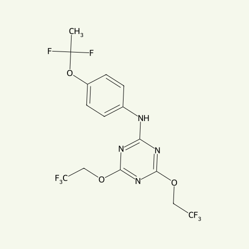 CC(F)(F)Oc1ccc(Nc2nc(OCC(F)(F)F)nc(OCC(F)(F)F)n2)cc1